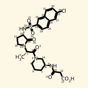 C[C@@H](C(=O)N1CCC[C@H](NC(=O)CC(=O)O)C1)N1CC[C@H](NS(=O)(=O)c2ccc3cc(Cl)ccc3c2)C1=O